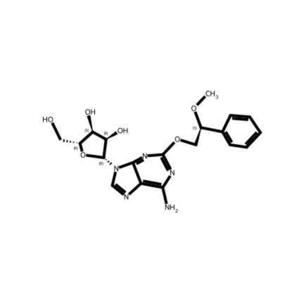 CO[C@H](COc1nc(N)c2ncn([C@@H]3O[C@H](CO)[C@@H](O)[C@H]3O)c2n1)c1ccccc1